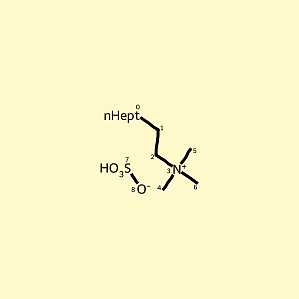 CCCCCCCCC[N+](C)(C)C.O=S(=O)([O-])O